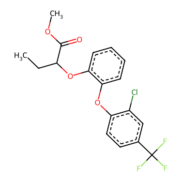 CCC(Oc1ccccc1Oc1ccc(C(F)(F)F)cc1Cl)C(=O)OC